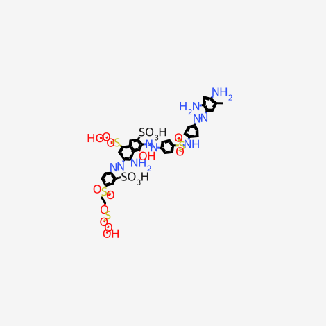 Cc1cc(/N=N/c2ccc(NS(=O)(=O)c3ccc(/N=N/c4c(S(=O)(=O)O)cc5c(SOOO)cc(/N=N/c6ccc(S(=O)(=O)CCOSOOO)cc6S(=O)(=O)O)c(N)c5c4O)cc3)cc2)c(N)cc1N